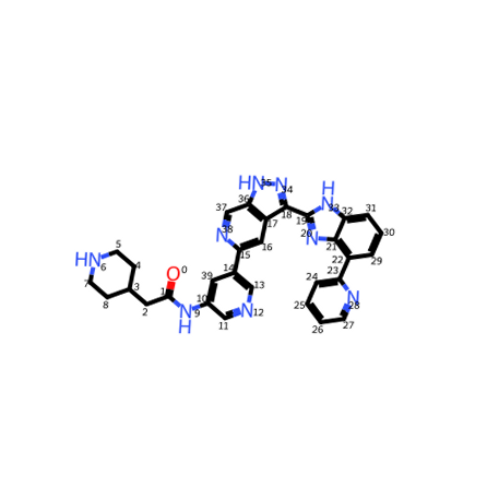 O=C(CC1CCNCC1)Nc1cncc(-c2cc3c(-c4nc5c(-c6ccccn6)cccc5[nH]4)n[nH]c3cn2)c1